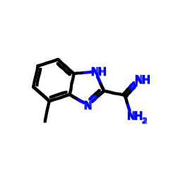 Cc1cccc2[nH]c(C(=N)N)nc12